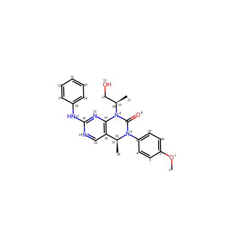 COc1ccc(N2C(=O)N([C@H](C)CO)c3nc(Nc4ccccc4)ncc3[C@@H]2C)cc1